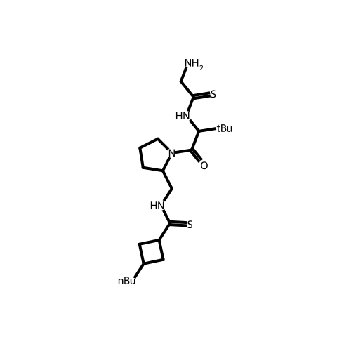 CCCCC1CC(C(=S)NCC2CCCN2C(=O)C(NC(=S)CN)C(C)(C)C)C1